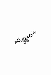 N#Cc1ccc(COc2ccn(Cc3cccc(F)c3)c(=O)c2Br)cc1